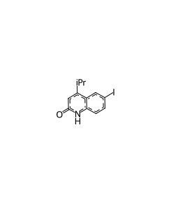 CC(C)c1cc(=O)[nH]c2ccc(I)cc12